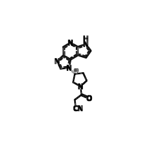 N#CCC(=O)N1CC[C@@H](n2cnc3cnc4[nH]ccc4c32)C1